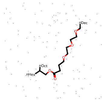 CCCCCCCCCCCOCCOCCOCCCC(=O)OCC(CCCCCC)CCCCCCCC